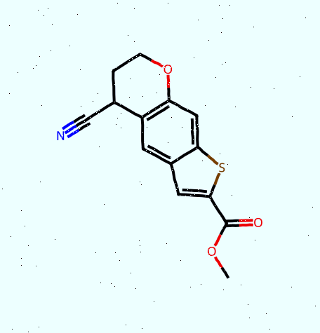 COC(=O)c1cc2cc3c(cc2s1)OCCC3C#N